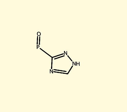 O=Pc1nc[nH]n1